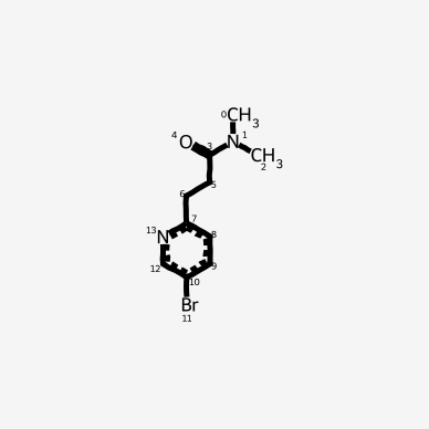 CN(C)C(=O)CCc1ccc(Br)cn1